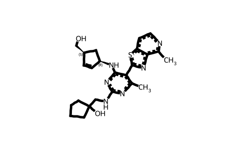 Cc1nc(NCC2(O)CCCC2)nc(N[C@H]2C=C[C@@H](CO)C2)c1-c1nc2c(C)nccc2s1